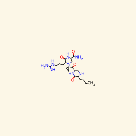 CCCC[C@@H]1NC[C@H](C(=O)C2(N3CC(C(N)=O)NC(=O)[C@@H]3CCCNC(=N)N)CC2)NC1=O